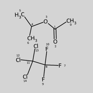 CC(=O)OC(C)C.FC(F)(F)C(Cl)(Cl)Cl